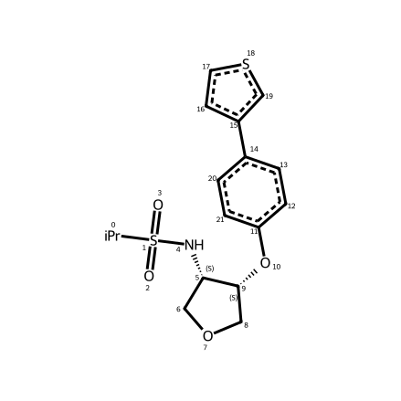 CC(C)S(=O)(=O)N[C@H]1COC[C@H]1Oc1ccc(-c2ccsc2)cc1